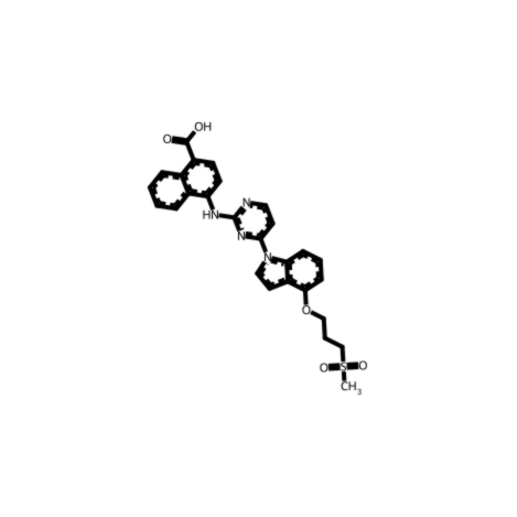 CS(=O)(=O)CCCOc1cccc2c1ccn2-c1ccnc(Nc2ccc(C(=O)O)c3ccccc23)n1